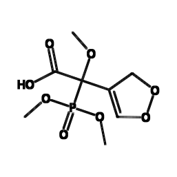 COC(C(=O)O)(C1=COOC1)P(=O)(OC)OC